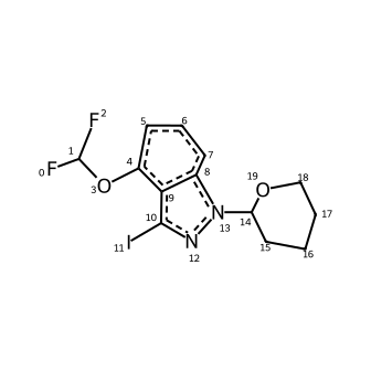 FC(F)Oc1cccc2c1c(I)nn2C1CCCCO1